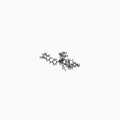 C[C@]12C=CC(=O)C=C1CC[C@@H]1[C@@H]2[C@@H](O)C[C@@]2(C)[C@H]1C[C@H]1O[C@@H](c3ccc(Cc4ccc5nc[nH]c5c4)cc3)O[C@]12C(=O)COP(=O)(O)O